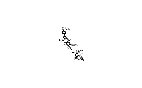 COc1ccc(C2=CN3C(=O)c4cc(OC)c(OCCCCCOc5cc6c(cc5OC)C(=O)N5CC7(CC7)CC5CN6)cc4NC(O)C3C2)cc1